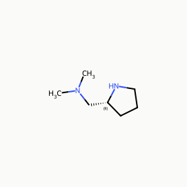 CN(C)C[C@H]1CCCN1